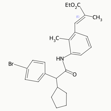 CCOC(=O)/C(C)=C/c1cccc(NC(=O)C(c2ccc(Br)cc2)C2CCCC2)c1C